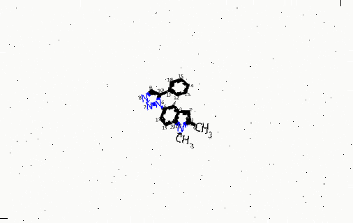 Cc1cc2cc(-n3nncc3-c3ccccc3)ccc2n1C